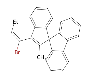 CC/C=C(/Br)C1=C(C)C2(c3ccccc31)c1ccccc1-c1ccccc12